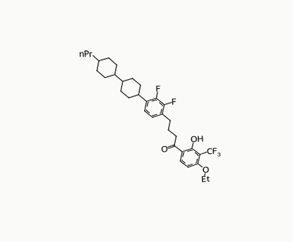 CCCC1CCC(C2CCC(c3ccc(CCCC(=O)c4ccc(OCC)c(C(F)(F)F)c4O)c(F)c3F)CC2)CC1